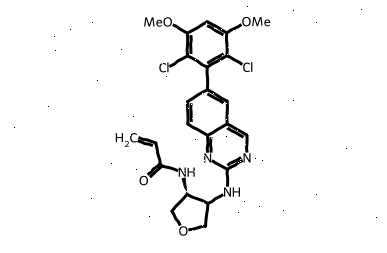 C=CC(=O)N[C@@H]1COCC1Nc1ncc2cc(-c3c(Cl)c(OC)cc(OC)c3Cl)ccc2n1